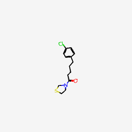 O=C(CCCCc1ccc(Cl)cc1)N1CCSC1